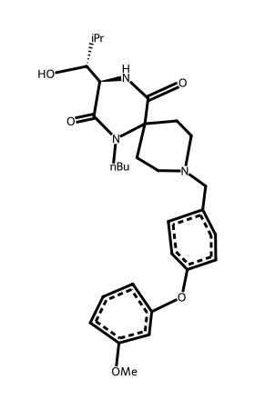 CCCCN1C(=O)[C@@H]([C@H](O)C(C)C)NC(=O)C12CCN(Cc1ccc(Oc3cccc(OC)c3)cc1)CC2